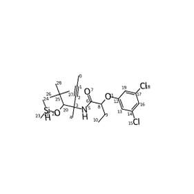 CC#CC(C)(NC(=O)C(CC)Oc1cc(Cl)cc(Cl)c1)C(O[SiH](C)C)C(C)(C)C